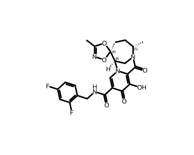 CC1=NO[C@@]2(CC[C@H](C)N3C[C@H]2n2cc(C(=O)NCc4ccc(F)cc4F)c(=O)c(O)c2C3=O)O1